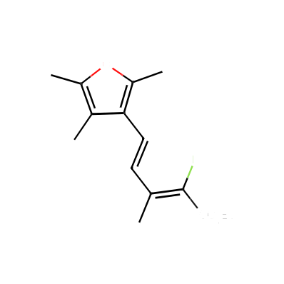 CCOC(=O)C(F)=C(C)C=Cc1c(C)oc(C)c1C